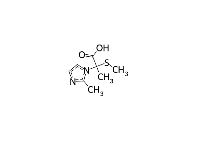 CSC(C)(C(=O)O)n1ccnc1C